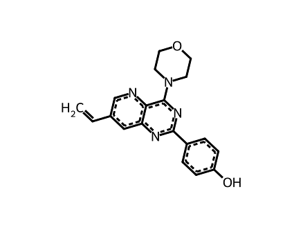 C=Cc1cnc2c(N3CCOCC3)nc(-c3ccc(O)cc3)nc2c1